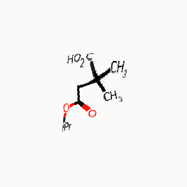 CC(C)OC(=O)CC(C)(C)C(=O)O